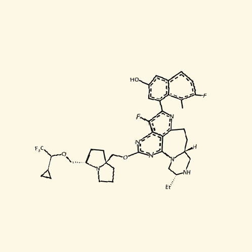 CC[C@@H]1CN2c3nc(OC[C@@]45CCCN4[C@H](COC(C4CC4)C(F)(F)F)CC5)nc4c(F)c(-c5cc(O)cc6ccc(F)c(C)c56)nc(c34)CC[C@@H]2CN1